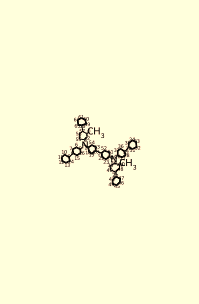 CC1C=C(N(c2ccc(-c3ccccc3)cc2)c2ccc(-c3ccc(N(c4ccc(-c5ccccc5)cc4)C4C=CC(c5ccccc5)=CC4C)cc3)cc2)C=CC1c1ccccc1